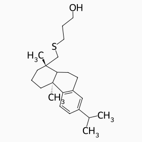 CC(C)c1ccc2c(c1)CCC1[C@@](C)(CSCCCO)CCC[C@]21C